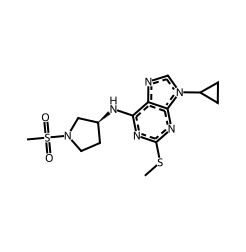 CSc1nc(N[C@H]2CCN(S(C)(=O)=O)C2)c2ncn(C3CC3)c2n1